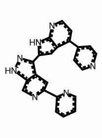 c1ccc(-c2cc3c(-c4cc5c(-c6ccncc6)ccnc5[nH]4)n[nH]c3cn2)nc1